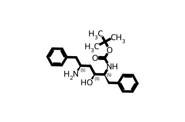 CC(C)(C)OC(=O)N[C@@H](Cc1ccccc1)[C@@H](O)C[C@@H](N)Cc1ccccc1